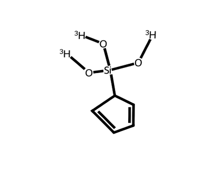 [3H]O[Si](O[3H])(O[3H])C1C=CC=C1